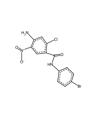 Nc1cc(Cl)c(C(=O)Nc2ccc(Br)cc2)cc1[N+](=O)[O-]